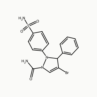 NC(=O)N1C=C(Br)C(c2ccccc2)N1c1ccc(S(N)(=O)=O)cc1